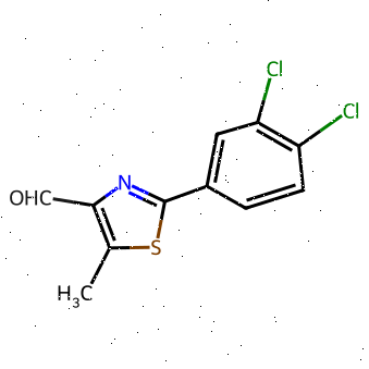 Cc1sc(-c2ccc(Cl)c(Cl)c2)nc1C=O